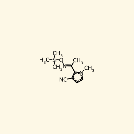 CC(=NO[Si](C)(C)C)c1c(C#N)ccn1C